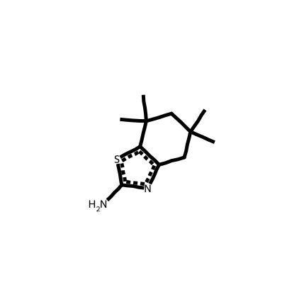 CC1(C)Cc2nc(N)sc2C(C)(C)C1